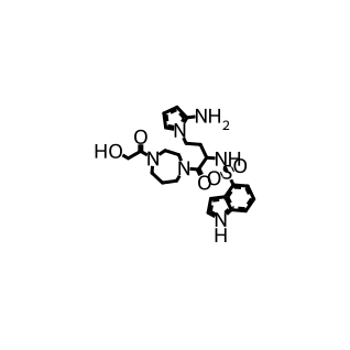 Nc1cccn1CCC(NS(=O)(=O)c1cccc2[nH]ccc12)C(=O)N1CCCN(C(=O)CO)CC1